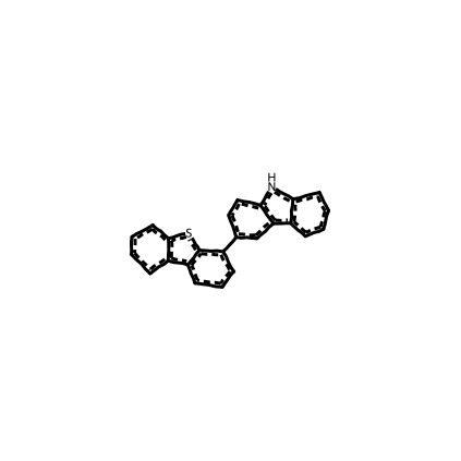 c1ccc2c(c1)[nH]c1ccc(-c3cccc4c3sc3ccccc34)cc12